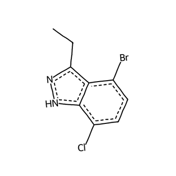 CCc1n[nH]c2c(Cl)ccc(Br)c12